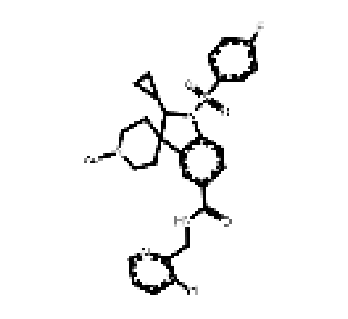 CC(=O)N1CCC2(CC1)c1cc(C(=O)NCc3ncccc3Cl)ccc1N(S(=O)(=O)c1ccc(F)cc1)C2C1CC1